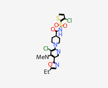 CCc1cnc(-c2cnc(N3CCC(C(=O)NS(=O)(=O)c4sccc4Cl)CC3)c(Cl)c2NC)o1